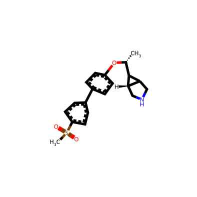 C[C@@H](Oc1ccc(-c2ccc(S(C)(=O)=O)cc2)cc1)C1C2CNC[C@@H]21